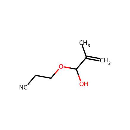 C=C(C)C(O)OCCC#N